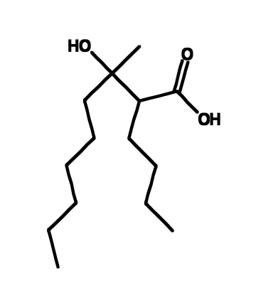 CCCCCCC(C)(O)C(CCCC)C(=O)O